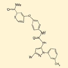 CNC(=O)c1cc(Oc2ccc(NC(=O)Nc3cc(C(C)C)nn3-c3cccc(C)c3)cc2)ccn1